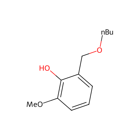 CCCCOCc1cccc(OC)c1O